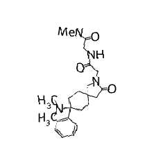 CNC(=O)CNC(=O)CN1C[C@]2(CC[C@](c3ccccc3)(N(C)C)CC2)CC1=O